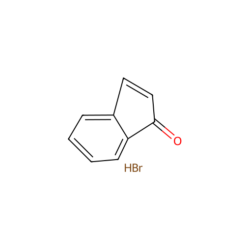 Br.O=C1C=Cc2ccccc21